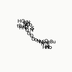 CCCCC(Cc1c[nH]c2ccccc12)NC(=O)c1cnc(N2CCN(c3ccc(OCCOCCOCCOCC(=O)N[C@H](C(=O)N4C[C@H](O)C[C@H]4C(=O)N[C@@H](C)c4ccc(-c5scnc5C)cc4)C(C)(C)C)cc3)CC2)s1